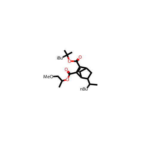 CCCCC(C)C1CC2CC1C(C(=O)OC(C)COC)=C2C(=O)OC(C)(C)C(C)CC